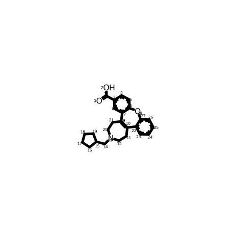 O=C(O)c1ccc2c(c1)C1=C(CCN(CC3CCCC3)CC1)c1ccccc1O2